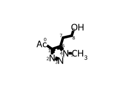 CC(=O)c1nnn(C)c1CCO